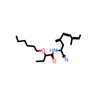 C=C(/C=C\C(C)=C/C)CC(C#N)NC(=O)C(CC)OCCCCCC